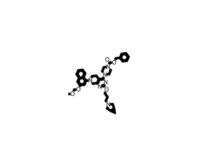 COCOc1cc(N2CCc3c(nc(OCCCN4CC5CC5C4)nc3N3CCN(C(=O)OCc4ccccc4)CC3)C2)c2ccccc2c1